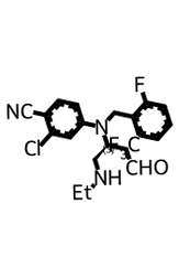 CCNC[C@H](CC=O)N(Cc1c(F)cccc1C(F)(F)F)c1ccc(C#N)c(Cl)c1